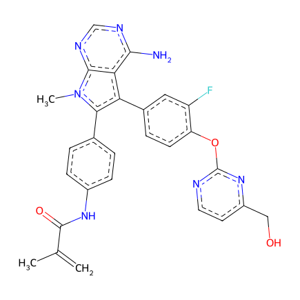 C=C(C)C(=O)Nc1ccc(-c2c(-c3ccc(Oc4nccc(CO)n4)c(F)c3)c3c(N)ncnc3n2C)cc1